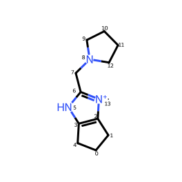 C1CC2=C(C1)NC(CN1CCCC1)=[N+]2